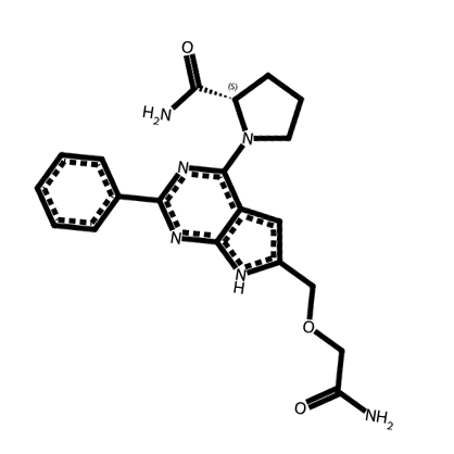 NC(=O)COCc1cc2c(N3CCC[C@H]3C(N)=O)nc(-c3ccccc3)nc2[nH]1